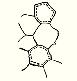 Cc1cccc2c1C(C(C)C)c1c(C)c(C)c(C)c(C)c1SC2